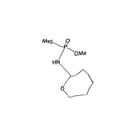 COP(=O)(NC1CCCCO1)SC